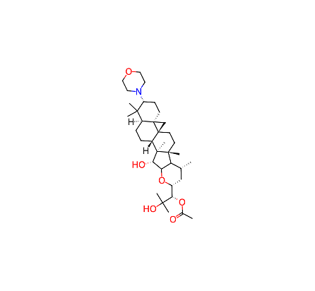 CC(=O)O[C@@H]([C@H]1C[C@@H](C)C2C(O1)[C@H](O)[C@@]1(C)[C@@H]3CC[C@H]4C(C)(C)[C@H](N5CCOCC5)CC[C@@]45C[C@@]35CC[C@]21C)C(C)(C)O